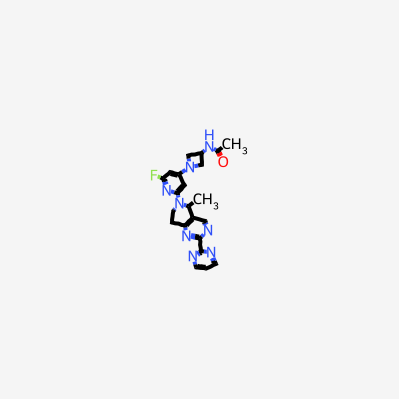 CC(=O)NC1CN(c2cc(F)nc(N3CCc4nc(-c5ncccn5)ncc4C3C)c2)C1